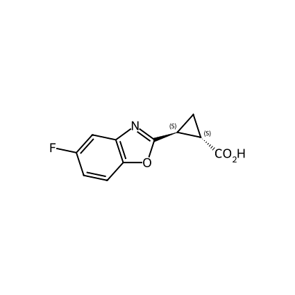 O=C(O)[C@H]1C[C@@H]1c1nc2cc(F)ccc2o1